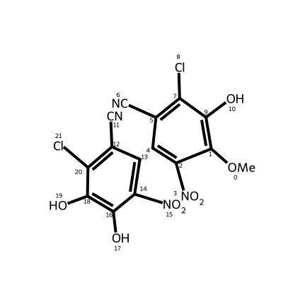 COc1c([N+](=O)[O-])cc(C#N)c(Cl)c1O.N#Cc1cc([N+](=O)[O-])c(O)c(O)c1Cl